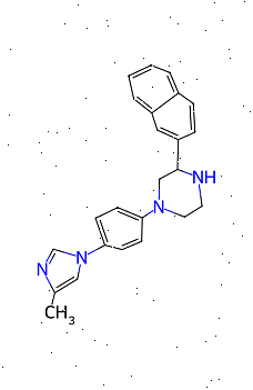 Cc1cn(-c2ccc(N3CCNC(c4ccc5ccccc5c4)C3)cc2)cn1